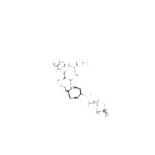 CCOC(=O)C(CC(C)C)n1cc(CCN2CC[C@@H](F)C2)ccc1=O